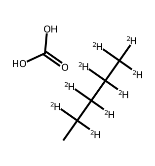 O=C(O)O.[2H]C([2H])([2H])C([2H])([2H])C([2H])([2H])C([2H])([2H])C